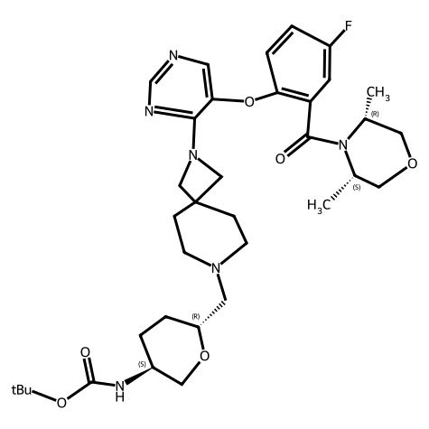 C[C@@H]1COC[C@H](C)N1C(=O)c1cc(F)ccc1Oc1cncnc1N1CC2(CCN(C[C@H]3CC[C@H](NC(=O)OC(C)(C)C)CO3)CC2)C1